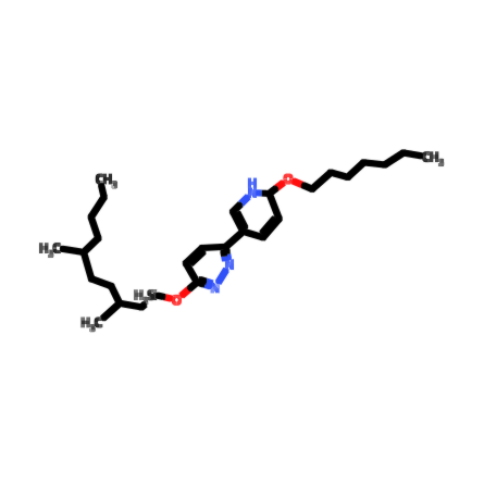 CCCCCCCOC1C=CC(c2ccc(O[SiH2]CC(C)CCC(C)CCCC)nn2)=CN1